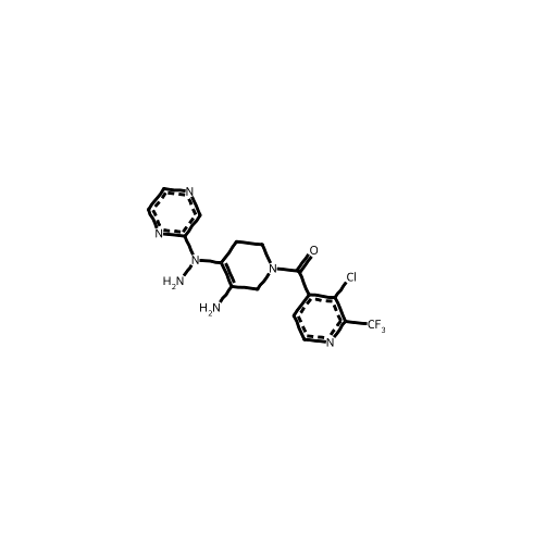 NC1=C(N(N)c2cnccn2)CCN(C(=O)c2ccnc(C(F)(F)F)c2Cl)C1